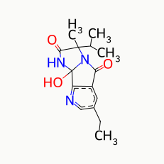 CCc1cnc2c(c1)C(=O)N1C2(O)NC(=O)C1(C)C(C)C